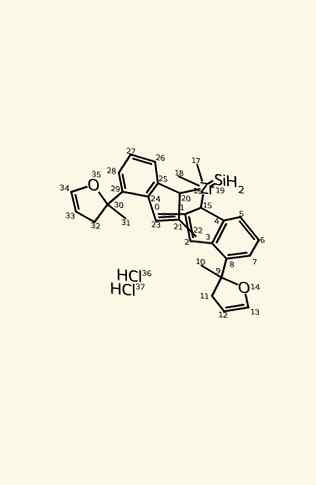 CC1=Cc2c(cccc2C2(C)CC=CO2)[CH]1[Zr]([CH3])([CH3])(=[SiH2])[CH]1C(C)=Cc2c1cccc2C1(C)CC=CO1.Cl.Cl